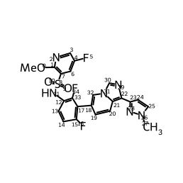 COc1ncc(F)cc1S(=O)(=O)Nc1ccc(F)c(-c2ccc3c(-c4ccn(C)n4)ncn3c2)c1F